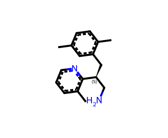 Cc1ccc(C)c(C[C@@H](CN)c2ncccc2C)c1